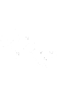 CN(C)c1ccc(/C=C2/SC(=S)N(CC(=O)O)C2=O)cc1-c1cc2c(cc1N(C)C)C(C)(C)CCC2(C)C